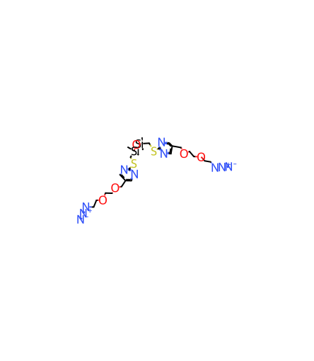 C[Si](C)(CSc1ncc(COCCOCCN=[N+]=[N-])cn1)O[Si](C)(C)CSc1ncc(COCCOCCN=[N+]=[N-])cn1